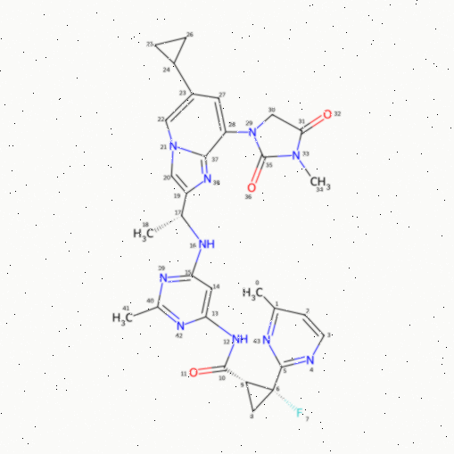 Cc1ccnc([C@@]2(F)C[C@@H]2C(=O)Nc2cc(N[C@H](C)c3cn4cc(C5CC5)cc(N5CC(=O)N(C)C5=O)c4n3)nc(C)n2)n1